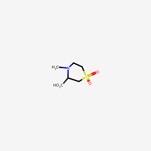 CN1CCS(=O)(=O)CC1C(=O)O